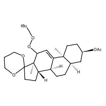 CC(=O)O[C@@H]1CC[C@]2(C)C3=CC(OOC(C)(C)C)[C@@]4(C)[C@@H](CCC45OCCCO5)[C@@H]3CC[C@@H]2C1